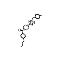 CCCCc1ccc(C(=O)N2CCN(c3nc(Cc4ccc(C)cc4)ns3)CC2)cc1